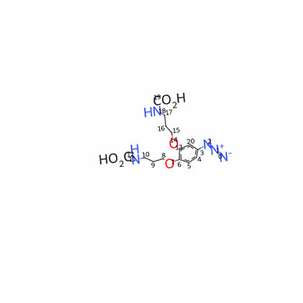 [N-]=[N+]=Nc1ccc(OCCCNC(=O)O)c(OCCCNC(=O)O)c1